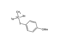 [1H][13C]([2H])(C)Sc1ccc(OC)cc1